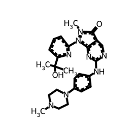 CN1CCN(c2ccc(Nc3ncc4c(=O)n(C)n(-c5cccc(C(C)(C)O)n5)c4n3)cc2)CC1